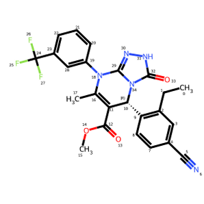 CCc1cc(C#N)ccc1[C@@H]1C(C(=O)OC)=C(C)N(c2cccc(C(F)(F)F)c2)c2n[nH]c(=O)n21